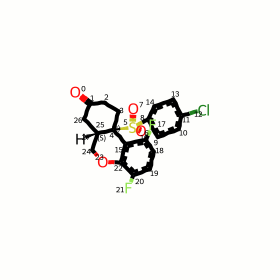 O=C1CC[C@]2(S(=O)(=O)c3ccc(Cl)cc3)c3c(F)ccc(F)c3OC[C@@H]2C1